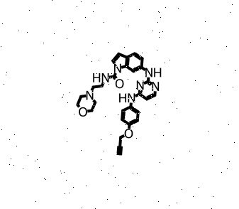 C#CCOc1ccc(Nc2ccnc(Nc3ccc4ccn(C(=O)NCCN5CCOCC5)c4c3)n2)cc1